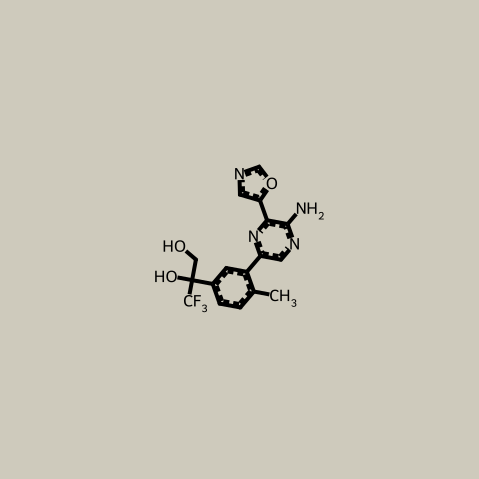 Cc1ccc(C(O)(CO)C(F)(F)F)cc1-c1cnc(N)c(-c2cnco2)n1